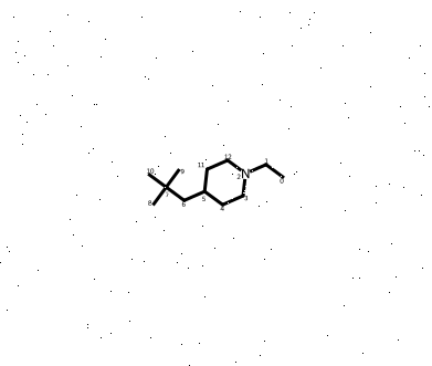 CCN1CCC(CC(C)(C)C)CC1